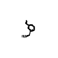 C=Cc1cccc(CN)c1